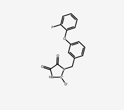 O=c1[nH][s+]([O-])n(Cc2cccc(Oc3ccccc3F)c2)c1=O